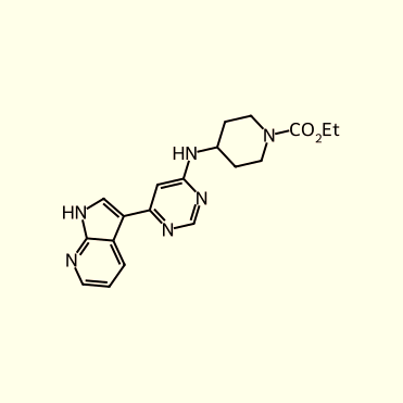 CCOC(=O)N1CCC(Nc2cc(-c3c[nH]c4ncccc34)ncn2)CC1